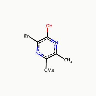 COc1nc(C(C)C)c(O)nc1C